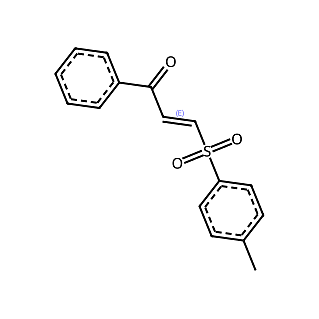 Cc1ccc(S(=O)(=O)/C=C/C(=O)c2ccccc2)cc1